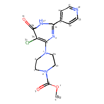 CC(C)(C)OC(=O)N1CCN(c2nc(-c3ccncc3)[nH]c(=O)c2Cl)CC1